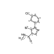 CNC(=O)c1cnn(-c2cccc(Cl)c2)c1Br